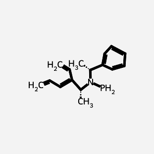 C=C/C=C(\C=C)[C@@H](C)N(P)[C@H](C)c1ccccc1